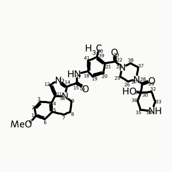 COc1ccc2c(c1)CCCn1c-2cnc1C(=O)Nc1ccc(C(=O)N2CCN(C(=O)C3(O)CCNCC3)CC2)c(C)c1